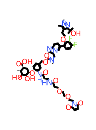 Cc1c(CCOc2c(-c3ccc4ncc(CN(C)C(=O)OCc5ccc(O[C@@H]6C[C@H](C(=O)O)[C@@H](C)[C@H](O)[C@H]6O)c(NC(=O)CCNC(=O)CCOCCOCCN6C(=O)C=CC6=O)c5)n4c3)ccc(F)c2F)c(C(C)(C)O)nn1C